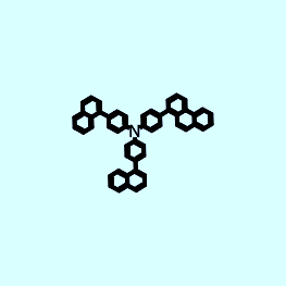 c1ccc2c(-c3ccc(N(c4ccc(-c5cccc6ccccc56)cc4)c4ccc(-c5cccc6c5ccc5ccccc56)cc4)cc3)cccc2c1